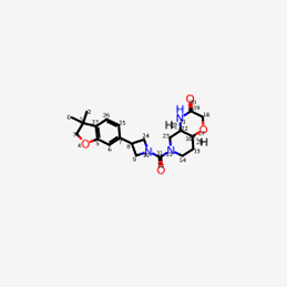 CC1(C)COc2cc(C3CN(C(=O)N4CC[C@@H]5OCC(=O)N[C@@H]5C4)C3)ccc21